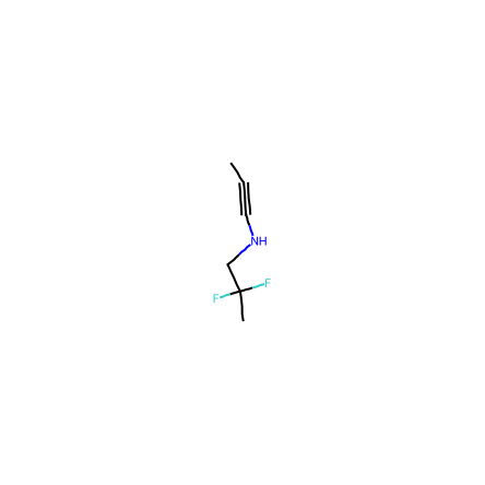 CC#CNCC(C)(F)F